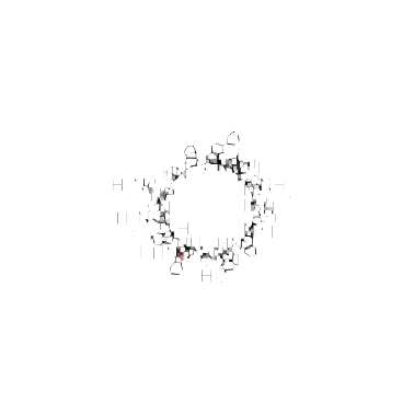 CCCC[C@H]1C(=O)N(C)CC(=O)N[C@@H](CC(N)=O)C(=O)N[C@@H](C(C)C)C(=O)N(C)C(Cc2ccccc2)C(=O)N[C@@H](Cc2ccc(O)cc2)C(=O)N(C)CC(=O)N[C@@H](Cc2c[nH]c3ccccc23)C(=O)N[C@@H](Cc2ccc(O)cc2)C(=O)N[C@@H](CCCN)C(=O)N[C@H](C(=O)NCC(N)=O)CSCC(=O)N[C@@H](Cc2ccccc2)C(=O)N[C@@H](Cc2ccc(-c3ccccc3)cc2)C(=O)N1C